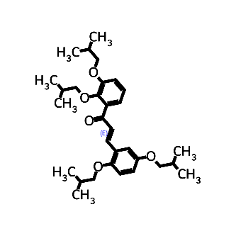 CC(C)COc1ccc(OCC(C)C)c(/C=C/C(=O)c2cccc(OCC(C)C)c2OCC(C)C)c1